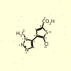 Cn1nncc1-c1cc(C(=O)O)sc1Cl